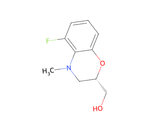 CN1C[C@@H](CO)Oc2cccc(F)c21